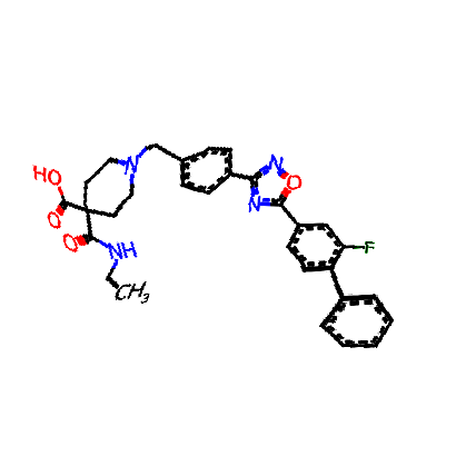 CCNC(=O)C1(C(=O)O)CCN(Cc2ccc(-c3noc(-c4ccc(-c5ccccc5)c(F)c4)n3)cc2)CC1